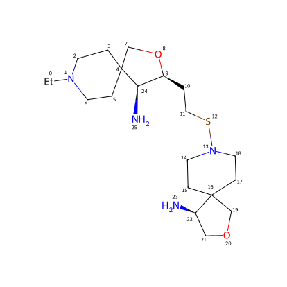 CCN1CCC2(CC1)CO[C@@H](CCSN1CCC3(CC1)COC[C@H]3N)[C@H]2N